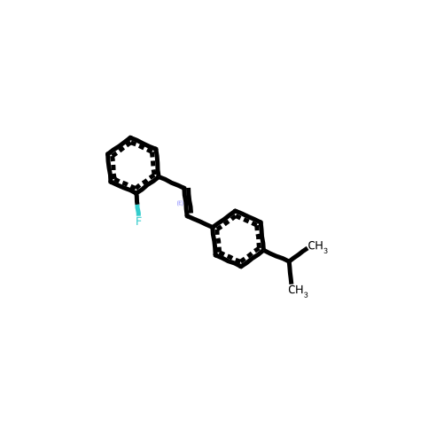 CC(C)c1ccc(/C=C/c2ccccc2F)cc1